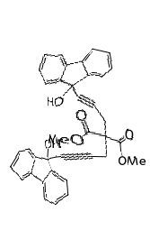 COC(=O)C(CC#CC1(O)c2ccccc2-c2ccccc21)(CC#CC1(O)c2ccccc2-c2ccccc21)C(=O)OC